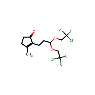 CC1=C(CCC(OCC(Cl)(Cl)Cl)OCC(Cl)(Cl)Cl)C(=O)CC1